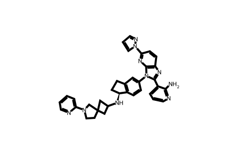 Nc1ncccc1-c1nc2ccc(-n3cccn3)nc2n1-c1ccc2c(c1)CC[C@@H]2NC1CC2(CCN(c3ccccn3)C2)C1